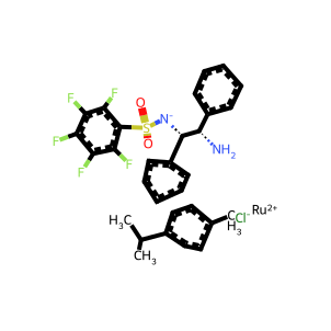 Cc1ccc(C(C)C)cc1.N[C@@H](c1ccccc1)[C@@H]([N-]S(=O)(=O)c1c(F)c(F)c(F)c(F)c1F)c1ccccc1.[Cl-].[Ru+2]